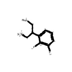 CNCC(CN)c1cccc(F)c1F